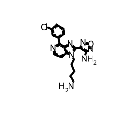 NCCCCCn1c(-c2nonc2N)nc2c(-c3cccc(Cl)c3)nccc21